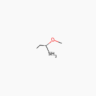 CCC([SiH3])OC